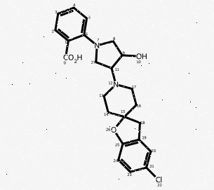 O=C(O)c1ccccc1N1CC(O)C(N2CCC3(CC2)Cc2cc(Cl)ccc2O3)C1